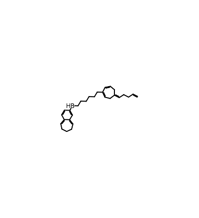 C=CCC/C=C1\CC=CC(CCCCCCBc2ccc3c(c2)=CCCCC=3)=CC1